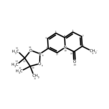 [CH2]c1ccc2ccc(B3OC(C)(C)C(C)(C)O3)cn2c1=O